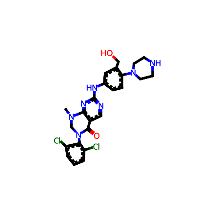 CN1CN(c2c(Cl)cccc2Cl)C(=O)c2cnc(Nc3ccc(N4CCNCC4)c(CO)c3)nc21